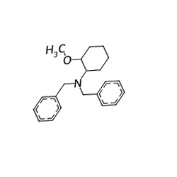 COC1CCCCC1N(Cc1ccccc1)Cc1ccccc1